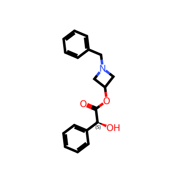 O=C(OC1CN(Cc2ccccc2)C1)[C@@H](O)c1ccccc1